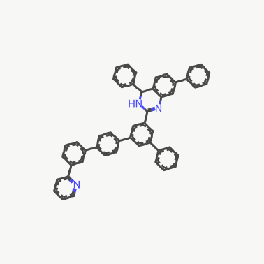 c1ccc(-c2cc(C3=Nc4cc(-c5ccccc5)ccc4C(c4ccccc4)N3)cc(-c3ccc(-c4cccc(-c5ccccn5)c4)cc3)c2)cc1